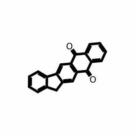 O=C1c2ccccc2C(=O)c2cc3c(cc21)Cc1ccccc1-3